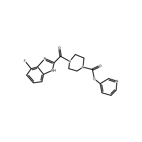 O=C(Oc1cccnc1)N1CCN(C(=O)c2nc3c(F)cccc3[nH]2)CC1